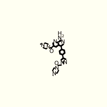 CN1CCN(C(=O)Cn2cc(-c3ccc(-c4cnc(N)c5ncc(C(=O)N6CCN(C)CC6)cc45)cc3)cn2)CC1